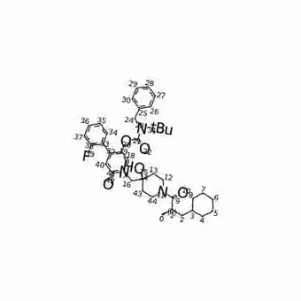 C[C@H](CC1CCCCC1)C(=O)N1CCC(O)(Cn2cc(OC(=O)N(Cc3ccccc3)C(C)(C)C)c(-c3ccccc3F)cc2=O)CC1